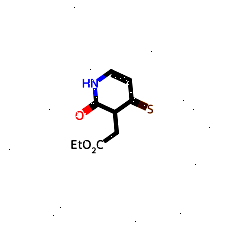 CCOC(=O)CC1C(=O)NC=CC1=S